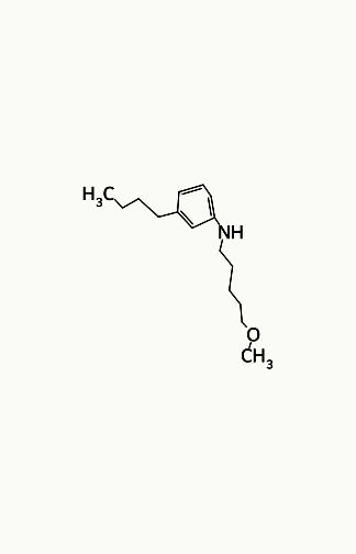 CCCCc1cccc(NCCCCCOC)c1